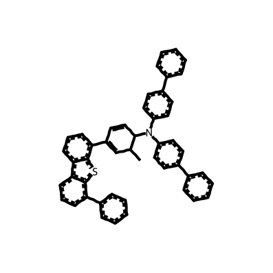 CC1C=C(c2cccc3c2sc2c(-c4ccccc4)cccc23)C=CC1N(c1ccc(-c2ccccc2)cc1)c1ccc(-c2ccccc2)cc1